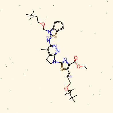 CCOC(=O)c1nc(N2CCc3c2nnc(/N=c2\sc4ccccc4n2COCC[Si](C)(C)C)c3C)sc1/C=C/CO[Si](C)(C)C(C)(C)C